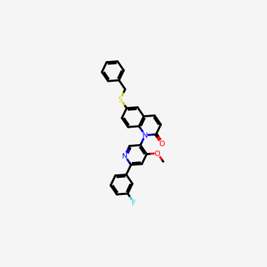 COc1cc(-c2cccc(F)c2)ncc1-n1c(=O)ccc2cc(SCc3ccccc3)ccc21